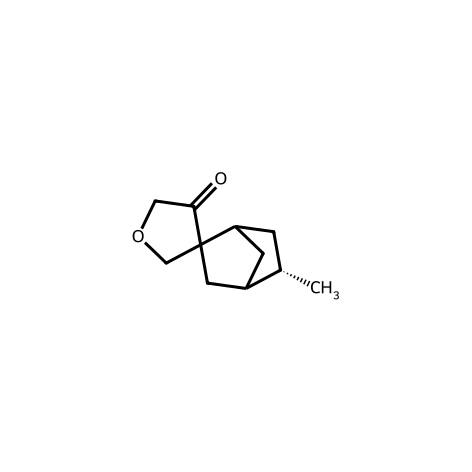 C[C@H]1CC2CC1CC21COCC1=O